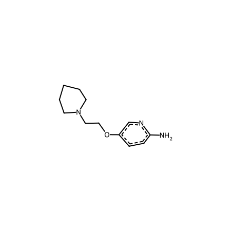 Nc1ccc(OCCN2CCCCC2)cn1